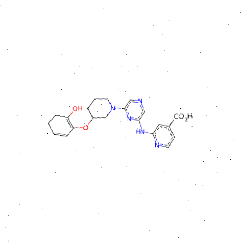 O=C(O)c1ccnc(Nc2cncc(N3CCCC(OC4=C(O)CCC=C4)C3)n2)c1